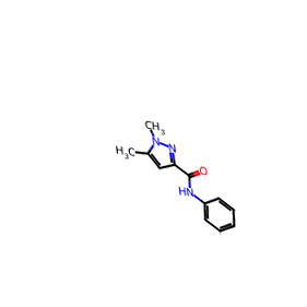 Cc1cc(C(=O)Nc2c[c]ccc2)nn1C